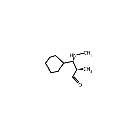 CN[C@H](C1CCCCC1)[C@@H](C)C=O